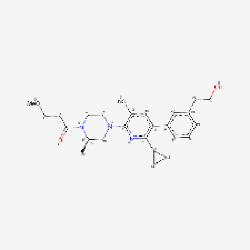 COCCC(=O)N1CCN(c2nc(C3CC3)c(-c3cccc(CCO)c3)cc2C#N)C[C@H]1C